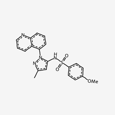 COc1ccc(S(=O)(=O)Nc2cc(C)nn2-c2cccc3ncccc23)cc1